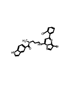 CN(CCCNc1cc(-c2ccccc2Cl)nc2c(Br)cnn12)C(=O)c1ccc2[nH]ccc2c1